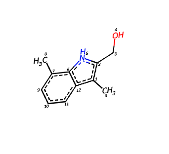 Cc1c(CO)[nH]c2c(C)cccc12